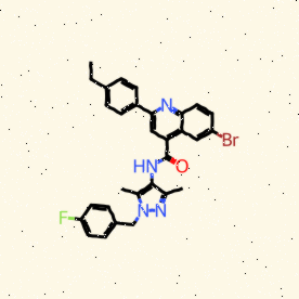 CCc1ccc(-c2cc(C(=O)Nc3c(C)nn(Cc4ccc(F)cc4)c3C)c3cc(Br)ccc3n2)cc1